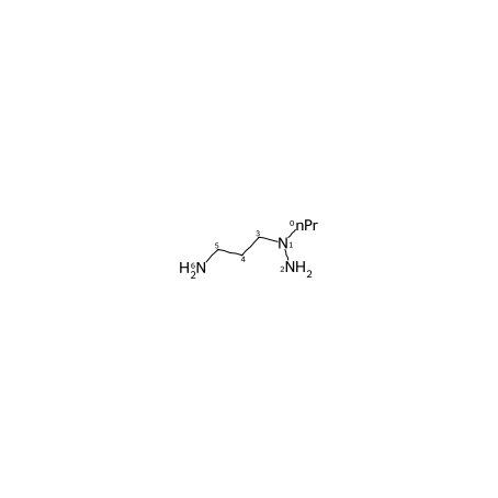 CCCN(N)CCCN